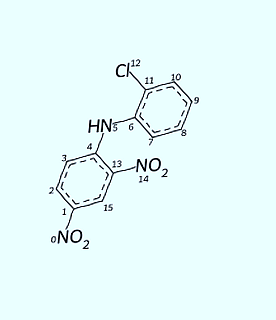 O=[N+]([O-])c1ccc(Nc2ccccc2Cl)c([N+](=O)[O-])c1